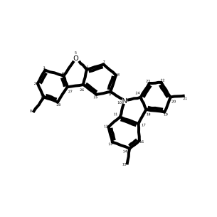 Cc1ccc2oc3ccc(-n4c5ccc(C)cc5c5cc(C)ccc54)cc3c2c1